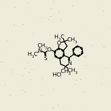 CN(C)C(=S)Oc1cc2c(c3c1OC(C)(C)C3)C(c1ccccc1)=NC(C)(C)C2.Cl